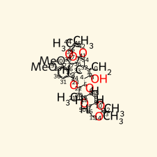 C=C(C(O)C[C@@H]1O[C@H]2C[C@H]3OC(C)(C)OCC[C@H]3O[C@H]2[C@H](C)[C@H]1OCc1ccc(OC)cc1)[C@H](C)CC1(CCC(=O)OC)OCC(C)(C)CO1